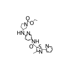 CCOC(=O)N1CCC(Nc2ccc(NC(=O)c3sc(-c4ccccn4)nc3C)cn2)C1